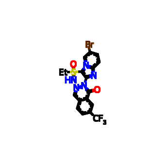 CCS(=N)(=O)c1c(-n2ncc3ccc(C(F)(F)F)cc3c2=O)nc2ccc(Br)cn12